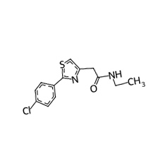 CCNC(=O)Cc1csc(-c2ccc(Cl)cc2)n1